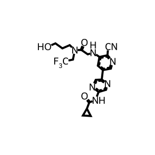 N#Cc1ncc(-c2cnc(NC(=O)C3CC3)cn2)cc1NCC(=O)N(CCCO)CC(F)(F)F